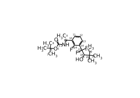 C[C@@H](NC(=O)OC(C)(C)C)c1cccc(C(F)(F)C(O)C(C)(C)C)c1F